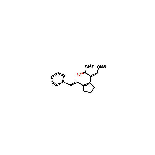 COC=C(C(=O)OC)C1=C(C=Cc2ccccc2)CCC1